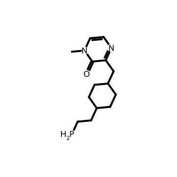 Cn1ccnc(CC2CCC(CCP)CC2)c1=O